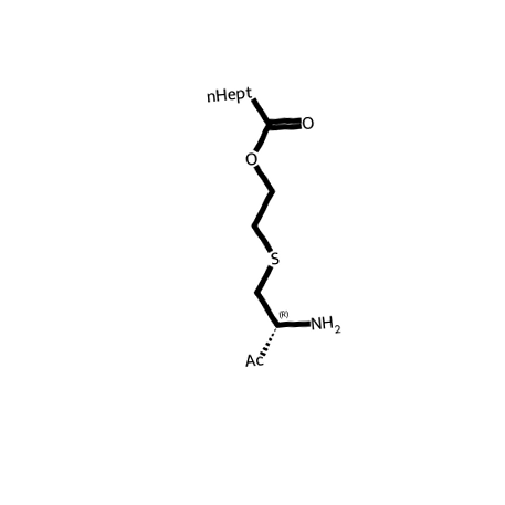 CCCCCCCC(=O)OCCSC[C@H](N)C(C)=O